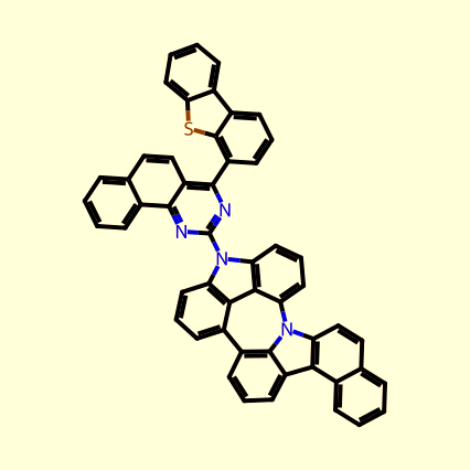 c1ccc2c(c1)ccc1c(-c3cccc4c3sc3ccccc34)nc(-n3c4cccc5c6cccc7c8c9ccccc9ccc8n(c8cccc3c8c54)c67)nc12